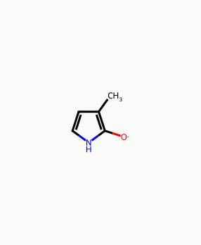 Cc1cc[nH]c1[O]